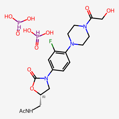 CC(=O)NC[C@H]1CN(c2ccc(N3CCN(C(=O)CO)CC3)c(F)c2)C(=O)O1.O=[PH](O)O.O=[PH](O)O